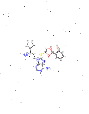 Nc1ncnc2c1nc(SC1=COC(c3ccccc3Br)O1)n2CCC(N)C1CCCC1